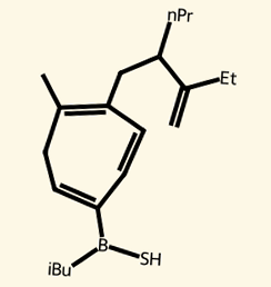 C=C(CC)C(CCC)CC1=C(C)CC=C(B(S)C(C)CC)C=C1